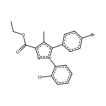 CCOC(=O)c1nn(-c2ccccc2Cl)c(-c2ccc(Br)cc2)c1C